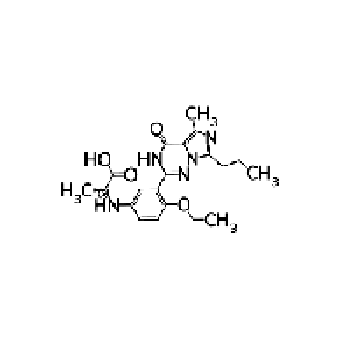 CCCc1nc(C)c2c(=O)[nH]c(-c3cc(N[C@@H](C)C(=O)O)ccc3OCC)nn12